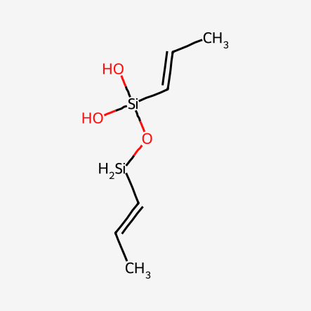 CC=C[SiH2]O[Si](O)(O)C=CC